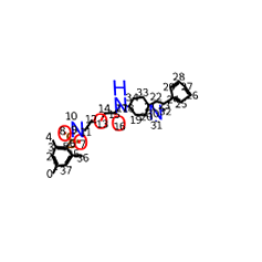 Cc1cc(C)c(S(=O)(=O)N(C)CCOCC(=O)NC2CCC(CCc3ccccc3)(N(C)C)CC2)c(C)c1